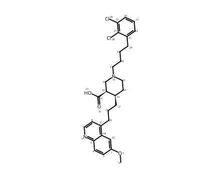 COc1ccc2nccc(CCC[C@@H]3CCN(CCCCc4cccc(Cl)c4Cl)C[C@@H]3C(=O)O)c2c1